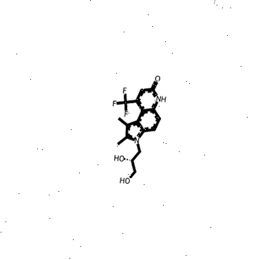 Cc1c(C)n(C[C@@H](O)CO)c2ccc3[nH]c(=O)cc(C(F)(F)F)c3c12